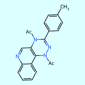 CC(=O)N1N=C(c2ccc(C)cc2)N(C(C)=O)c2cnc3ccccc3c21